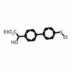 CCOC(=O)C(O)c1ccc(-c2ccc(SCC)cc2)cc1